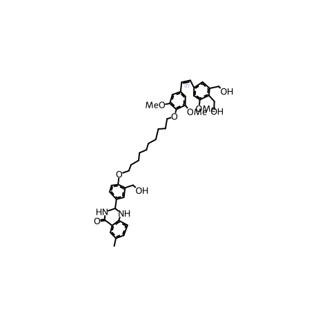 COc1cc(/C=C\c2cc(OC)c(OCCCCCCCCCCOc3ccc(C4NC(=O)c5cc(C)ccc5N4)cc3CO)c(OC)c2)cc(CO)c1CO